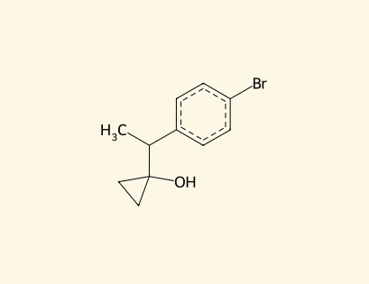 CC(c1ccc(Br)cc1)C1(O)CC1